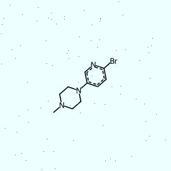 CN1CCN(c2ccc(Br)nc2)CC1